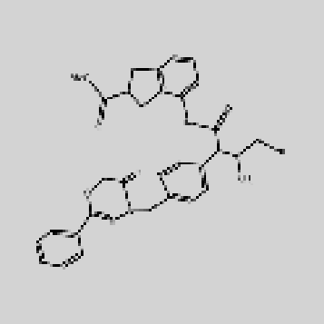 [C-]#[N+]CC(C)C(C(=O)Nc1cccc2c1CC(C(=O)OC)C2)c1ccc(CN2N=C(c3ccccc3)OCC2=O)cc1